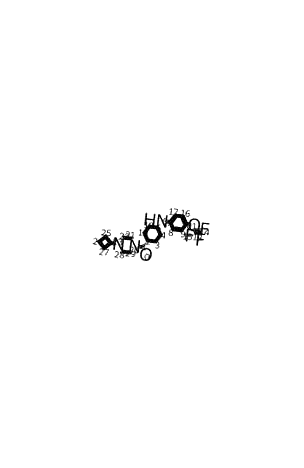 O=C([C@H]1CC[C@H](Nc2ccc(OC(F)(F)F)cc2)CC1)N1CCN(C2CCC2)CC1